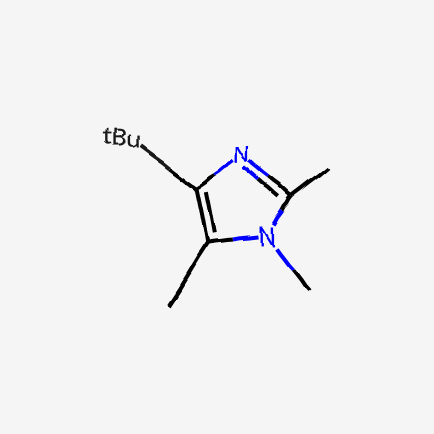 Cc1nc(C(C)(C)C)c(C)n1C